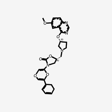 COc1ccc2ncnc(O[C@@H]3CCN(C[C@@H]4CN(C5=COC=C(C6=CC=CCC6)O5)C(=O)O4)C3)c2c1